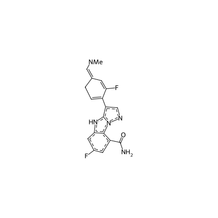 CNC=C1C=C(F)C(c2cnn3c2[nH]c2cc(F)cc(C(N)=O)c23)=CC1